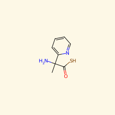 CC(N)(C(=O)S)c1ccccn1